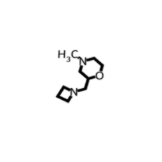 CN1CCOC(CN2CCC2)C1